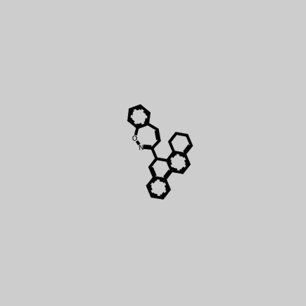 C1=Cc2ccccc2ON=C1C1C=c2ccccc2=c2ccc3c(c21)CCCC=3